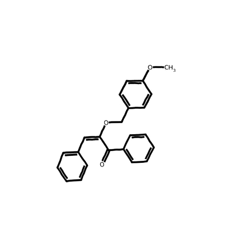 COc1ccc(COC(=Cc2ccccc2)C(=O)c2ccccc2)cc1